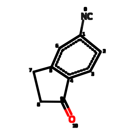 [C-]#[N+]c1ccc2c(c1)CCC2=O